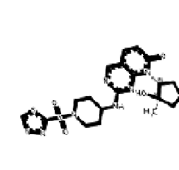 C[C@@]1(O)CCC[C@H]1n1c(=O)ccc2cnc(NC3CCN(S(=O)(=O)c4nncs4)CC3)nc21